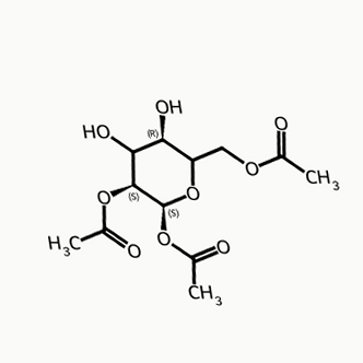 CC(=O)OCC1O[C@@H](OC(C)=O)[C@@H](OC(C)=O)C(O)[C@H]1O